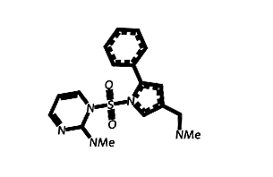 CNCc1cc(-c2ccccc2)n(S(=O)(=O)N2C=CC=NC2NC)c1